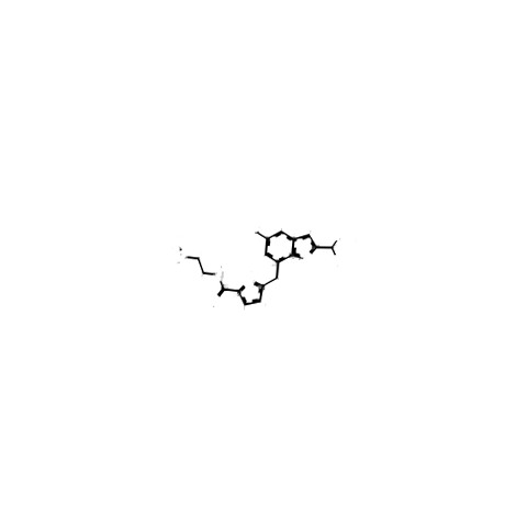 CC(C)c1cc2cc(Cl)cc(Cc3ccc(C(=O)NCCN(C)C)o3)c2o1